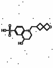 O=S(=O)(O)c1ccc2c(c1)C(O)CCN2CC1CC2(COC2)C1